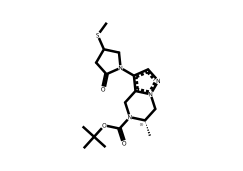 CSC1CC(=O)N(c2cnn3c2CN(C(=O)OC(C)(C)C)[C@@H](C)C3)C1